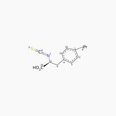 CC(C)c1ccc(C[C@H](N=C=S)C(=O)O)cc1